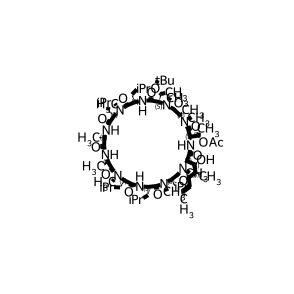 CC=CC[C@@H](C)[C@@H](O)[C@H]1C(=O)N[C@@H]([C@@H](C)OC(C)=O)C(=O)N(C)[C@H](C)C(=O)N(C)[C@@H](C(C)OC(C)(C)C)C(=O)N[C@@H](CC(C)C)C(=O)N(C)[C@@H](CC(C)C)C(=O)N[C@@H](C)C(=O)N[C@H](C)C(=O)N(C)[C@@H](CC(C)C)C(=O)N[C@@H](CC(C)C)C(=O)N(C)[C@@H](C(C)C)C(=O)N1C